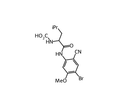 COc1cc(NC(=O)C(CC(C)C)NC(=O)O)c(C#N)cc1Br